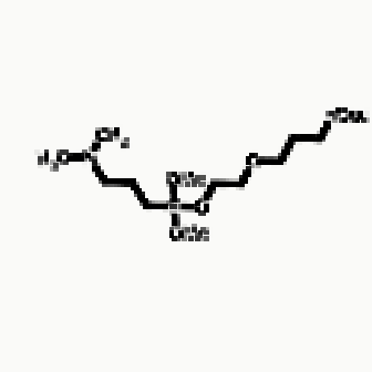 CCCCCCCCCCCCCOCCO[Si](CCCN(C)C)(OC)OC